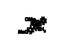 COc1ccc(C(CC(C)NC[C@H](O)c2cccnc2)c2ccc(OC)cc2)cc1